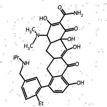 CCc1ccc(CNC(C)C)cc1-c1ccc(O)c2c1CC1CC3C(N(C)C)C(O)=C(C(N)=O)C(=O)C3(O)C(O)=C1C2=O